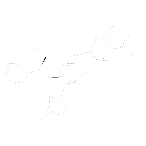 CC(C)c1noc(-c2cnc(Nc3ccc(C(N)=O)c(Cl)c3)nc2N[C@H](CO)c2ccccc2)n1